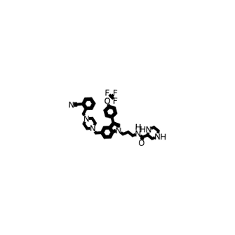 N#Cc1ccccc1CN1CCN(Cc2ccc3c(c2)c(-c2ccc(OC(F)(F)F)cc2)cn3CCCNC(=O)C2CNCCN2)CC1